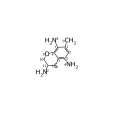 Cc1cc(N)c2c(c1N)OCC(N)S2